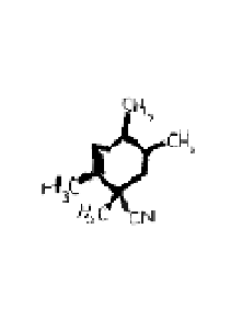 CC1=CC(C)C(C)CC1(C)C#N